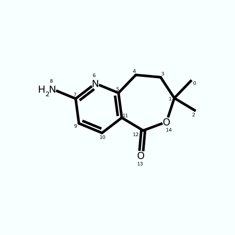 CC1(C)CCc2nc(N)ccc2C(=O)O1